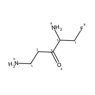 NCCC(=O)C(N)CF